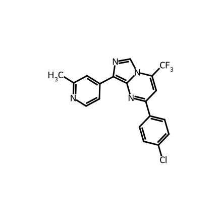 Cc1cc(-c2ncn3c(C(F)(F)F)cc(-c4ccc(Cl)cc4)nc23)ccn1